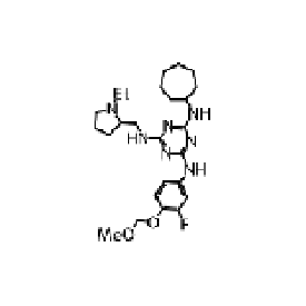 CCN1CCCC1CNc1nc(Nc2ccc(OCOC)c(F)c2)nc(NC2CCCCCC2)n1